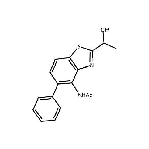 CC(=O)Nc1c(-c2ccccc2)ccc2sc(C(C)O)nc12